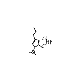 CCCC1=CC([Si](C)C)C(C)=C1.[Cl][Hf][Cl]